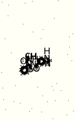 CNC(=O)c1c(NC(=O)c2ccc3[nH]cnc3c2)sc2c1CCCC2